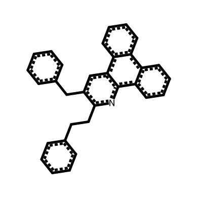 c1ccc(CCc2nc3c4ccccc4c4ccccc4c3cc2Cc2ccccc2)cc1